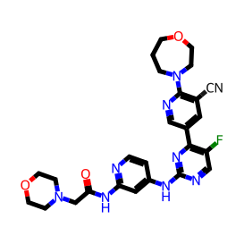 N#Cc1cc(-c2nc(Nc3ccnc(NC(=O)CN4CCOCC4)c3)ncc2F)cnc1N1CCCOCC1